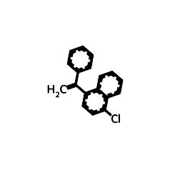 C=C(c1ccccc1)c1ccc(Cl)c2ccccc12